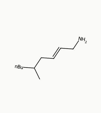 CCCCC(C)CC=CCN